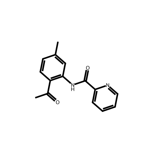 CC(=O)c1ccc(C)cc1NC(=O)c1ccccn1